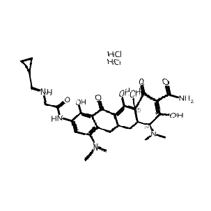 CN(C)c1cc(NC(=O)CNCC2CC2)c(O)c2c1CC1CC3[C@H](N(C)C)C(O)=C(C(N)=O)C(=O)[C@@]3(O)C(O)=C1C2=O.Cl.Cl